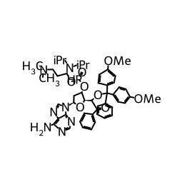 COc1ccc(C(OC(C(=O)c2ccccc2)[C@H]2O[C@@H](n3cnc4c(N)ncnc43)C[C@@H]2O[PH](=O)OC(CCN(C)C)N(C(C)C)C(C)C)(c2ccccc2)c2ccc(OC)cc2)cc1